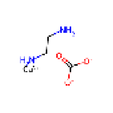 NCCN.O=C([O-])[O-].[Ca+2]